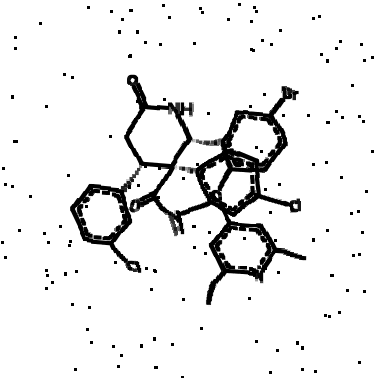 Cc1cc(Oc2ccc(Br)cc2[C@H]2NC(=O)C[C@@H](c3cccc(Cl)c3)[C@]23C(=O)Nc2cc(Cl)ccc23)cc(C)n1